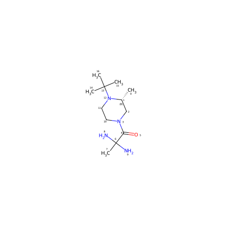 C[C@@H]1CN(C(=O)C(C)(N)N)CCN1C(C)(C)C